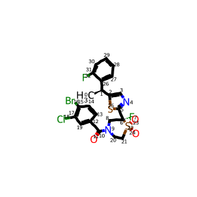 C[C@H](c1cnc([C@]2(F)CN(C(=O)c3ccc(Br)c(Cl)c3)CCS2(=O)=O)s1)c1ccccc1F